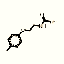 CCCC(=O)NCCOc1ccc(C)cc1